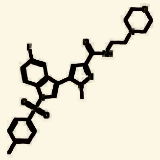 Cc1ccc(S(=O)(=O)n2cc(-c3cc(C(=O)NCCN4CCOCC4)nn3C)c3cc(F)ccc32)cc1